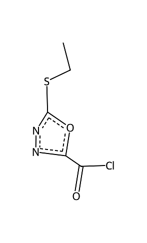 CCSc1nnc(C(=O)Cl)o1